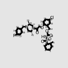 Cc1ccccc1S(=O)(=O)NC(=O)OCc1cc(Cl)ccc1OCC(=O)N1C[C@H](C)N(Cc2ccc(F)cc2)C[C@H]1C